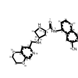 N#Cc1cc2c(NC(=O)[C@@H]3C[C@@H](NCc4cc5c(cn4)OCCO5)CN3)ccnc2cn1